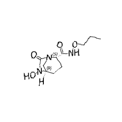 CCCONC(=O)[C@@H]1CC[C@@H]2CN1C(=O)N2O